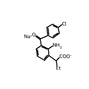 CCC(C(=O)[O-])c1cccc(C(=O)c2ccc(Cl)cc2)c1N.[Na+]